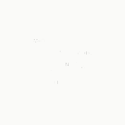 COc1ccc2c(c1)C(C)(C)C(C(F)(F)F)CN2C(=O)OC(C)(C)C